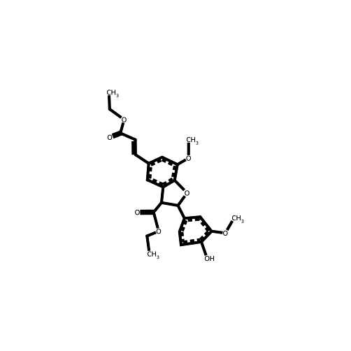 CCOC(=O)/C=C/c1cc(OC)c2c(c1)C(C(=O)OCC)C(c1ccc(O)c(OC)c1)O2